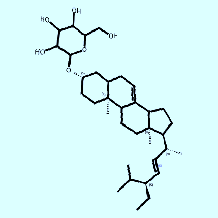 CC[C@H](/C=C/[C@@H](C)C1CCC2C3=CCC4C[C@@H](OC5OC(CO)C(O)C(O)C5O)CC[C@]4(C)C3CC[C@@]21C)C(C)C